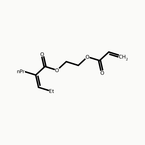 C=CC(=O)OCCOC(=O)C(=CCC)CCC